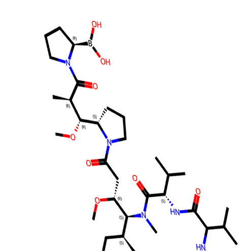 CC[C@H](C)[C@@H]([C@@H](CC(=O)N1CCC[C@H]1[C@H](OC)[C@@H](C)C(=O)N1CCC[C@H]1B(O)O)OC)N(C)C(=O)[C@@H](NC(=O)C(NC)C(C)C)C(C)C